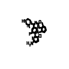 Cc1cccc(C(C)C)c1-n1c(=O)nc(N2CCNC[C@@H]2C)c2cc(F)c(-c3nc(N)ccc3Cl)nc21